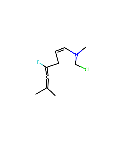 CC(C)=C=C(F)C/C=C\N(C)CCl